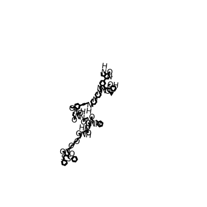 COc1ccc(C#CCNC2(C)CCN(C3CCN(c4nc([C@@](CO)(OC5CC5)c5ccccc5)c5cc(-c6cn(C)c(=O)c7[nH]ccc67)ccc5n4)CC3)CC2)cc1N1CCC(=O)N(CNC(=O)CNC(=O)[C@H](Cc2ccccc2)NC(=O)CNC(=O)CNC(=O)CCOCCOCCN2C(=O)C(Sc3ccccc3)=C(Sc3ccccc3)C2=O)C1=O